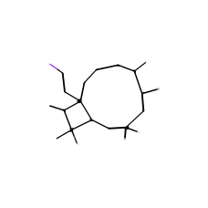 CCC1(C)C(C)C2(CCI)CCCC(C)C(C)CC(C)(C)CC12